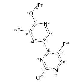 CC(C)Oc1ncc(-c2nc(Cl)ncc2F)cc1F